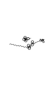 CCCCCCCCCCCCCCC[C@H]1OC[C@H](COC(=O)CCCCCC[n+]2ccsc2)O1.Cc1ccc(S(=O)(=O)[O-])cc1